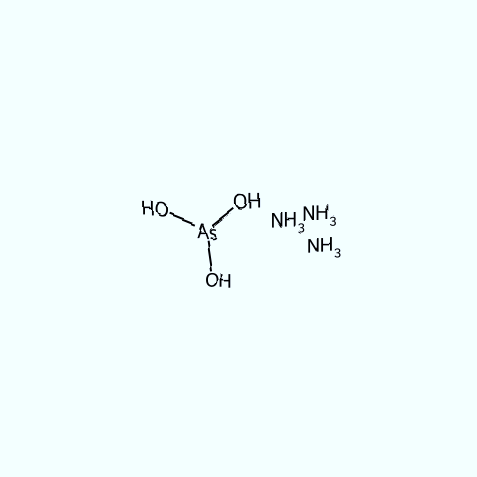 N.N.N.O[As](O)O